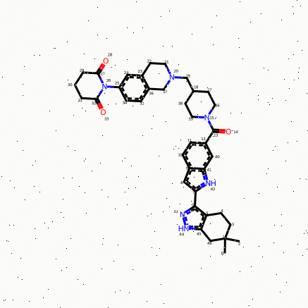 CC1(C)CCc2c(-c3cc4ccc(C(=O)N5CCC(CN6CCc7cc(N8C(=O)CCCC8=O)ccc7C6)CC5)cc4[nH]3)n[nH]c2C1